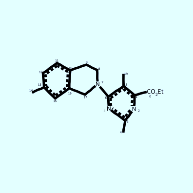 CCOC(=O)c1nc(C)nc(N2CCc3ccc(C)cc3C2)c1C